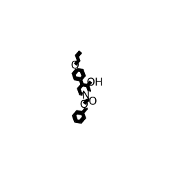 C=CCOc1ccc(C2CCN(C(=O)OCc3ccccc3)CC2O)cc1